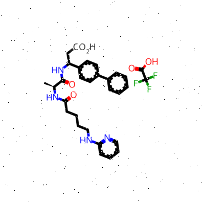 C[C@H](NC(=O)CCCCNc1ccccn1)C(=O)NC(CC(=O)O)c1ccc(-c2ccccc2)cc1.O=C(O)C(F)(F)F